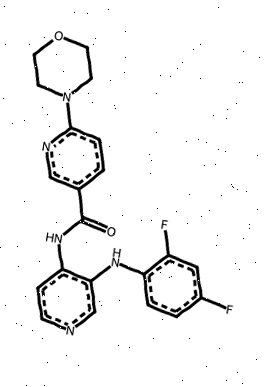 O=C(Nc1ccncc1Nc1ccc(F)cc1F)c1ccc(N2CCOCC2)nc1